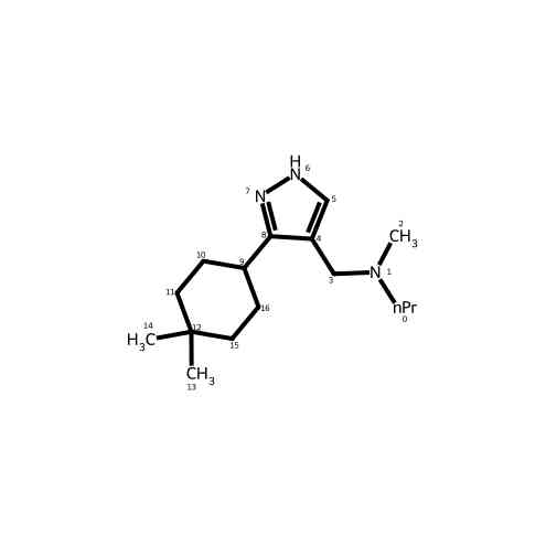 CCCN(C)Cc1c[nH]nc1C1CCC(C)(C)CC1